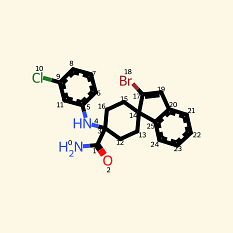 NC(=O)C1(Nc2cccc(Cl)c2)CCC2(CC1)C(Br)=Cc1ccccc12